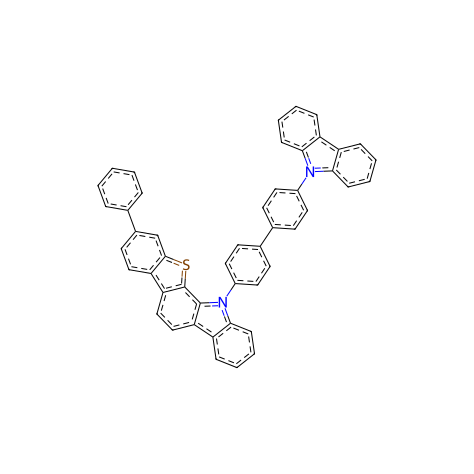 c1ccc(-c2ccc3c(c2)sc2c3ccc3c4ccccc4n(-c4ccc(-c5ccc(-n6c7ccccc7c7ccccc76)cc5)cc4)c32)cc1